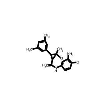 C=C(Nc1ccc(Cl)c(N)c1)C1C(c2cc(C)cc(C)c2)C1(C)Cl